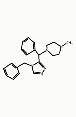 CN1CCN(C(c2ccccc2)c2nncn2Cc2ccccc2)CC1